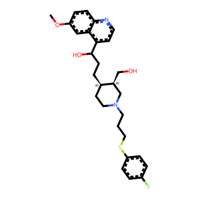 COc1ccc2nccc(C(O)CC[C@@H]3CCN(CCCSc4ccc(F)cc4)C[C@@H]3CO)c2c1